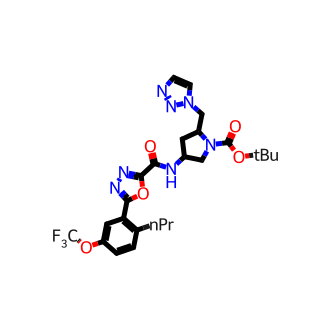 CCCc1ccc(OC(F)(F)F)cc1-c1nnc(C(=O)NC2CC(Cn3ccnn3)N(C(=O)OC(C)(C)C)C2)o1